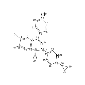 Cc1cc2c(-c3ccc(Cl)cc3)nn(-c3ccc(C4CC4)nc3)c(=O)c2cc1C